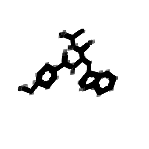 CC(C#N)NC(=O)C(Cc1csc2ccccc12)NC(=O)c1ccc(CCl)cc1